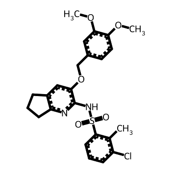 COc1ccc(COc2cc3c(nc2NS(=O)(=O)c2cccc(Cl)c2C)CCC3)cc1OC